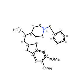 COc1cc2c(cc1OC)CC(CC(C(=O)O)C1CCN(Cc3ccccc3)CC1)C2